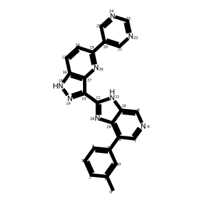 Cc1cccc(-c2cncc3[nH]c(-c4n[nH]c5ccc(-c6cncnc6)nc45)nc23)c1